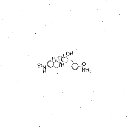 CCNc1ccc2c(c1)CC[C@@H]1[C@@H]2CC[C@]2(C)[C@@H](O)[C@@H](Cc3cccc(C(N)=O)c3)C[C@@H]12